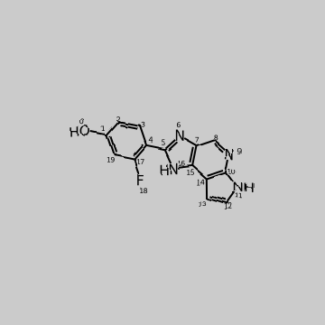 Oc1ccc(-c2nc3cnc4[nH]ccc4c3[nH]2)c(F)c1